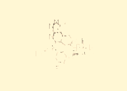 CCN(c1cc(F)cc(C#CC2(C(F)(F)F)CC2)c1)c1nc2nncn2c2ccc(F)cc12